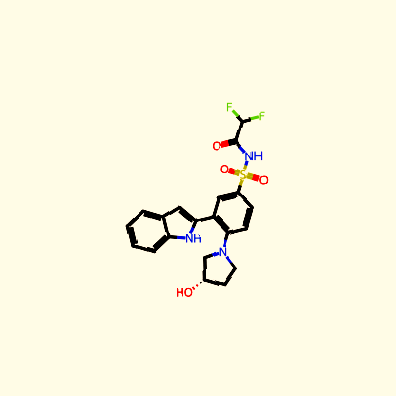 O=C(NS(=O)(=O)c1ccc(N2CC[C@H](O)C2)c(-c2cc3ccccc3[nH]2)c1)C(F)F